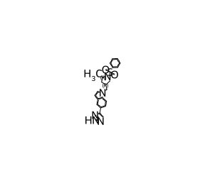 C[C@@H]1C[C@H](Cn2ccc3cc(-c4cn[nH]n4)ccc32)CN1S(=O)(=O)c1ccccc1